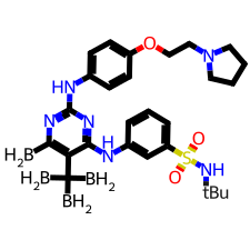 Bc1nc(Nc2ccc(OCCN3CCCC3)cc2)nc(Nc2cccc(S(=O)(=O)NC(C)(C)C)c2)c1C(B)(B)B